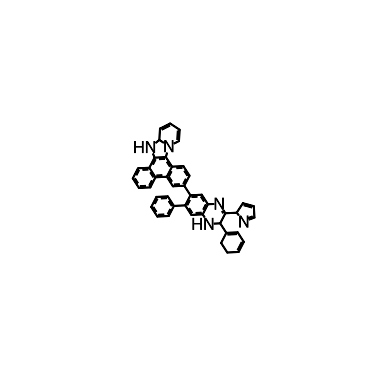 C1=CCCC(C2Nc3cc(-c4ccccc4)c(-c4ccc5c6c(c7ccccc7c5c4)NC4C=CC=CN64)cc3N=C2C2C=CC=N2)=C1